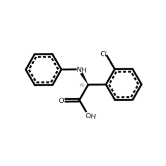 O=C(O)[C@@H](Nc1ccccc1)c1ccccc1Cl